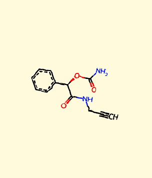 C#CCNC(=O)[C@H](OC(N)=O)c1ccccc1